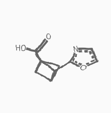 O=C(O)C12CC(C1)C2c1ncco1